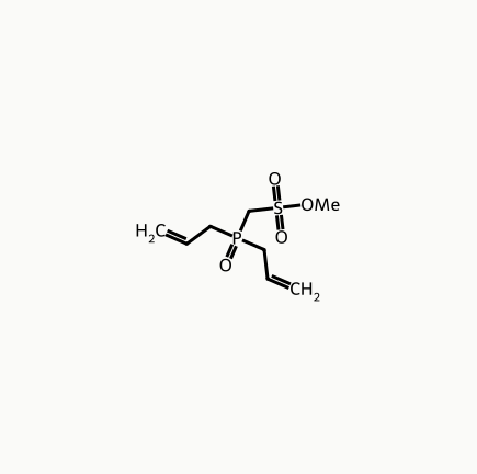 C=CCP(=O)(CC=C)CS(=O)(=O)OC